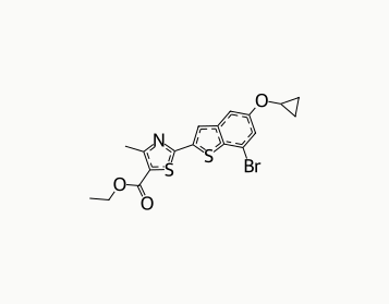 CCOC(=O)c1sc(-c2cc3cc(OC4CC4)cc(Br)c3s2)nc1C